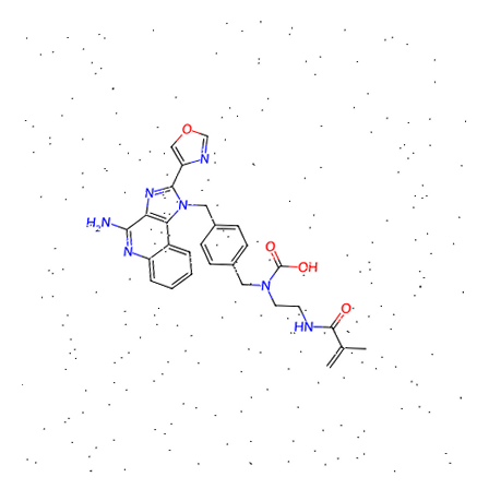 C=C(C)C(=O)NCCN(Cc1ccc(Cn2c(-c3cocn3)nc3c(N)nc4ccccc4c32)cc1)C(=O)O